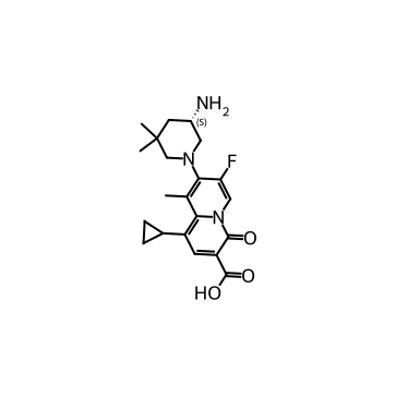 Cc1c(N2C[C@@H](N)CC(C)(C)C2)c(F)cn2c(=O)c(C(=O)O)cc(C3CC3)c12